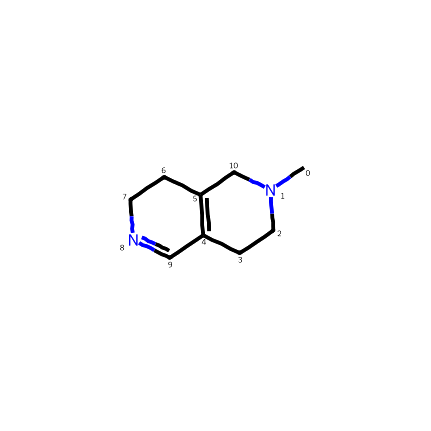 CN1CCC2=C(CCN=C2)C1